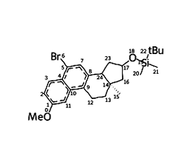 COc1ccc2c(Br)cc3c(c2c1)CC[C@]1(C)CC(O[Si](C)(C)C(C)(C)C)CC31